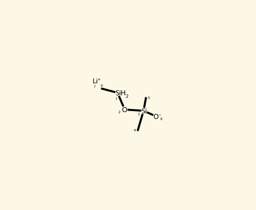 C[SiH2]O[Si](C)(C)[O-].[Li+]